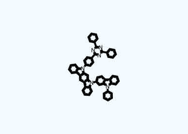 c1ccc(-c2nc(-c3ccccc3)nc(-c3ccc(-n4c5ccccc5c5cc6c7ccccc7n(-c7ccc8c9ccccc9n(-c9ccccc9)c8c7)c6cc54)cc3)n2)cc1